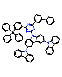 c1ccc(-c2cccc(-c3nc(-c4cccc([Si](c5ccccc5)(c5ccccc5)c5ccccc5)c4)nc(-n4c5ccc(-n6c7ccccc7c7ccccc76)cc5c5cc(-n6c7ccccc7c7ccccc76)ccc54)n3)c2)cc1